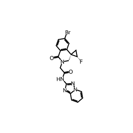 O=C(CN1C[C@@]2(C[C@@H]2F)c2cc(Br)ccc2C1=O)Nc1nc2ccccn2n1